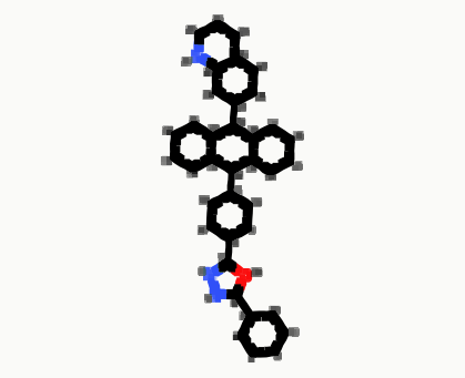 c1ccc(-c2nnc(-c3ccc(-c4c5ccccc5c(-c5ccc6cccnc6c5)c5ccccc45)cc3)o2)cc1